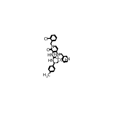 Cc1ccc([C@H](CC(=O)O)NC(=O)Nc2c(NCc3cccnc3)ccn(Cc3ccccc3Cl)c2=O)cc1